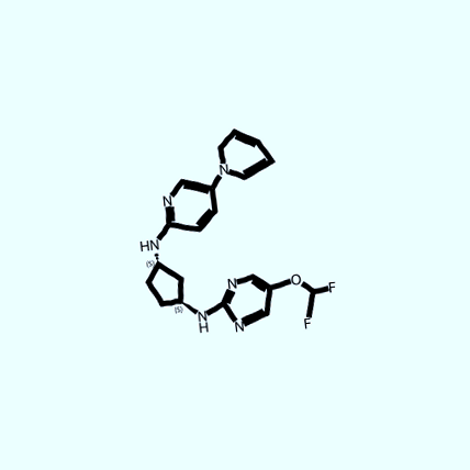 FC(F)Oc1cnc(N[C@H]2CC[C@H](Nc3ccc(N4C=CC=CC4)cn3)C2)nc1